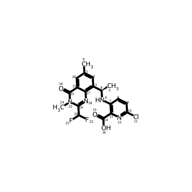 Cc1cc([C@@H](C)Nc2ccc(Cl)nc2C(=O)O)c2nc(C(F)F)n(C)c(=O)c2c1